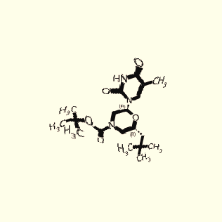 Cc1cn([C@H]2CN(C(=O)OC(C)(C)C)C[C@@H](CC(C)(C)C)O2)c(=O)[nH]c1=O